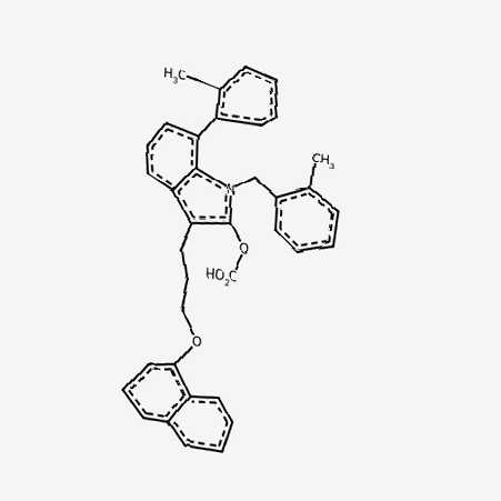 Cc1ccccc1Cn1c(OC(=O)O)c(CCCOc2cccc3ccccc23)c2cccc(-c3ccccc3C)c21